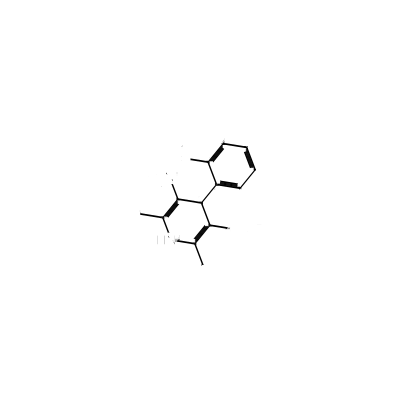 CCOC(=O)C1=C(C)NC(C)=C([N+](=O)[O-])C1c1ccccc1C(F)(F)F